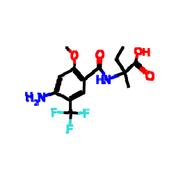 CCC(C)(NC(=O)c1cc(C(F)(F)F)c(N)cc1OC)C(=O)O